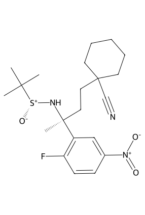 CC(C)(C)[S@@+]([O-])N[C@@](C)(CCC1(C#N)CCCCC1)c1cc([N+](=O)[O-])ccc1F